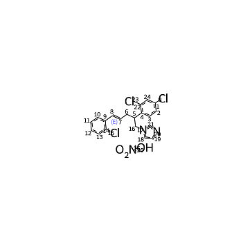 Clc1ccc(C(C/C=C/c2ccccc2Cl)Cn2ccnc2)c(Cl)c1.O=[N+]([O-])O